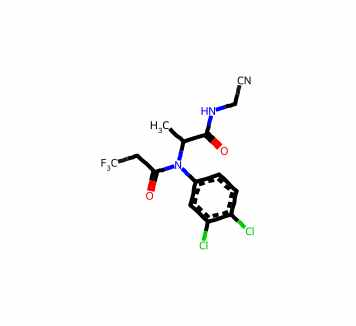 CC(C(=O)NCC#N)N(C(=O)CC(F)(F)F)c1ccc(Cl)c(Cl)c1